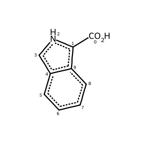 O=C(O)c1[nH]cc2ccccc12